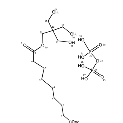 CCCCCCCCCCCCCCCCCC(=O)OCC(CO)(CO)CO.O=P(O)(O)OP(=O)(O)O